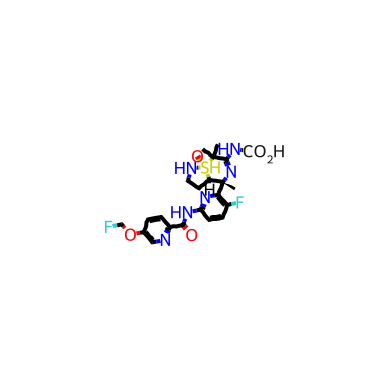 CC1(C)C(NC(=O)O)=N[C@](C)(c2nc(NC(=O)c3ccc(OCF)cn3)ccc2F)[C@@H]2CCN[SH]21=O